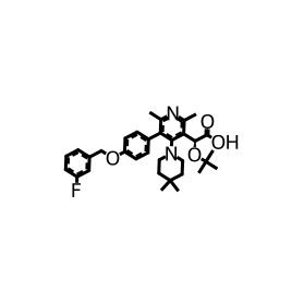 Cc1nc(C)c([C@H](OC(C)(C)C)C(=O)O)c(N2CCC(C)(C)CC2)c1-c1ccc(OCc2cccc(F)c2)cc1